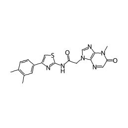 Cc1ccc(-c2csc(NC(=O)Cn3cnc4c3ncc(=O)n4C)n2)cc1C